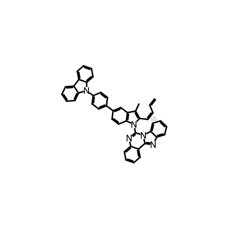 C=C/C=C\c1c(C)c2cc(-c3ccc(-n4c5ccccc5c5ccccc54)cc3)ccc2n1-c1nc2ccccc2c2nc3ccccc3n12